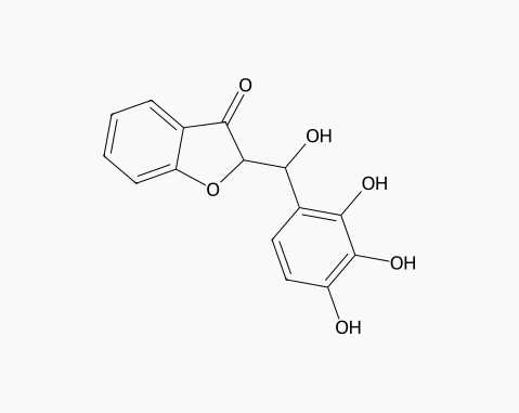 O=C1c2ccccc2OC1C(O)c1ccc(O)c(O)c1O